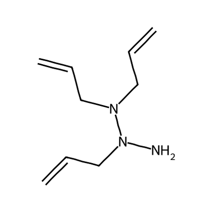 C=CCN(N)N(CC=C)CC=C